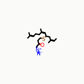 CC=C(C)CC(C=C(C)CCC=C(C)C)SCCC(=O)C=[N+]=[N-]